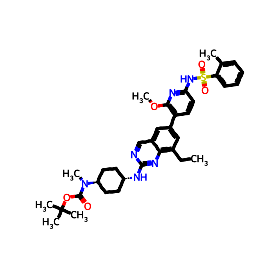 CCc1cc(-c2ccc(NS(=O)(=O)c3ccccc3C)nc2OC)cc2cnc(N[C@H]3CC[C@H](N(C)C(=O)OC(C)(C)C)CC3)nc12